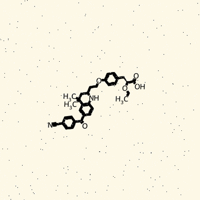 CCO[C@@H](Cc1ccc(OCCC2CC(C)(C)c3cc(C(=O)c4ccc(C#N)cc4)ccc3N2)cc1)C(=O)O